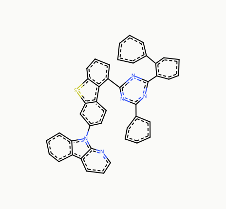 c1ccc(-c2nc(-c3ccccc3-c3ccccc3)nc(-c3cccc4sc5cc(-n6c7ccccc7c7cccnc76)ccc5c34)n2)cc1